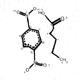 CCCCC(=O)O.O=[N+]([O-])c1ccc([N+](=O)[O-])cc1